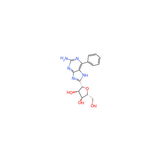 Nc1nc(-c2ccccc2)c2[nH]c([C@@H]3O[C@H](CO)[C@@H](O)[C@H]3O)nc2n1